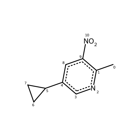 Cc1ncc(C2CC2)cc1[N+](=O)[O-]